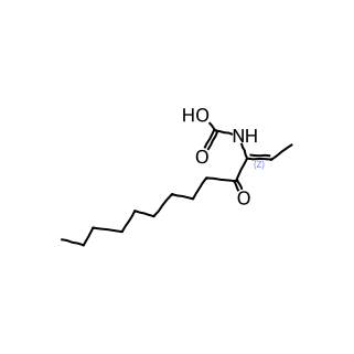 C/C=C(\NC(=O)O)C(=O)CCCCCCCCC